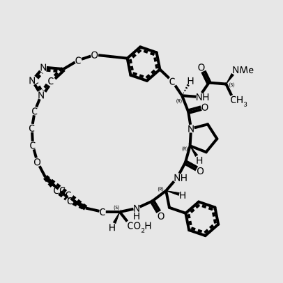 CN[C@@H](C)C(=O)N[C@@H]1Cc2ccc(cc2)OCc2cn(nn2)CCCOc2ccc(cc2)C[C@@H](C(=O)O)NC(=O)[C@@H](Cc2ccccc2)NC(=O)[C@H]2CCCN2C1=O